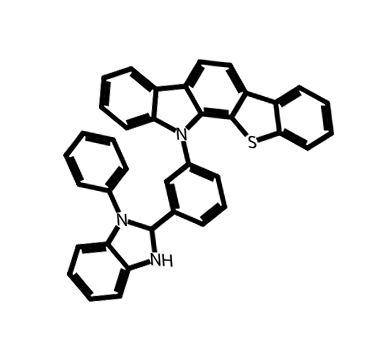 c1ccc(N2c3ccccc3NC2c2cccc(-n3c4ccccc4c4ccc5c6ccccc6sc5c43)c2)cc1